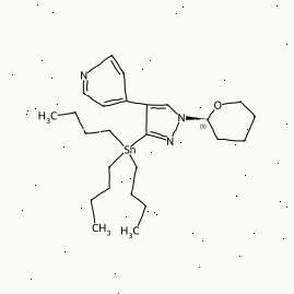 CCC[CH2][Sn]([CH2]CCC)([CH2]CCC)[c]1nn([C@@H]2CCCCO2)cc1-c1ccncc1